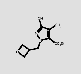 CCOC(=O)c1c(C)c(O)nn1CC1COC1